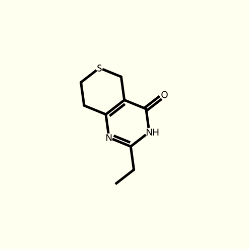 CCc1nc2c(c(=O)[nH]1)CSCC2